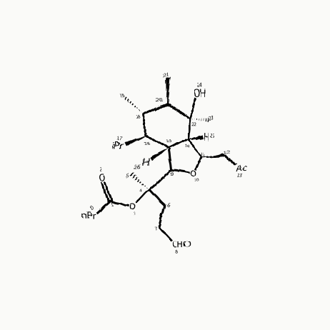 CCCC(=O)O[C@](C)(CCC=O)C1O[C@H](CC(C)=O)[C@@H]2[C@H]1[C@@H](C(C)C)[C@H](C)[C@@H](C)[C@@]2(C)O